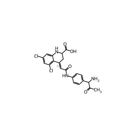 CC(=O)C(N)c1ccc(NC(=O)/C=C2\CC(C(=O)O)Nc3cc(Cl)cc(Cl)c32)cc1